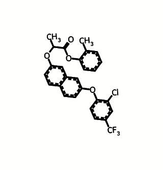 Cc1ccccc1OC(=O)C(C)Oc1ccc2ccc(Oc3ccc(C(F)(F)F)cc3Cl)cc2c1